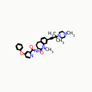 CN1CCN(C(C)(C)C#Cc2ccc3c(c2)N(C)C(=O)[C@H](NC(=O)c2cc(Oc4ccccc4)ccn2)CC3)CC1